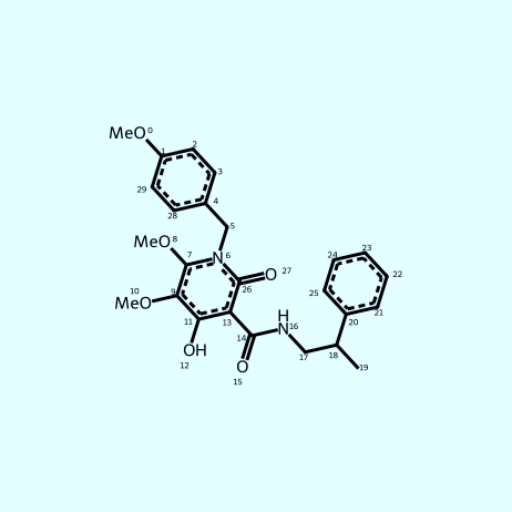 COc1ccc(Cn2c(OC)c(OC)c(O)c(C(=O)NCC(C)c3ccccc3)c2=O)cc1